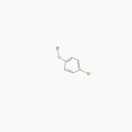 Brc1ccc([O][Zr])cc1